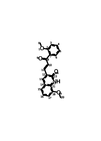 COc1ccccc1C(=O)C=Cc1cc2cccc(OC)c2[nH]c1=O